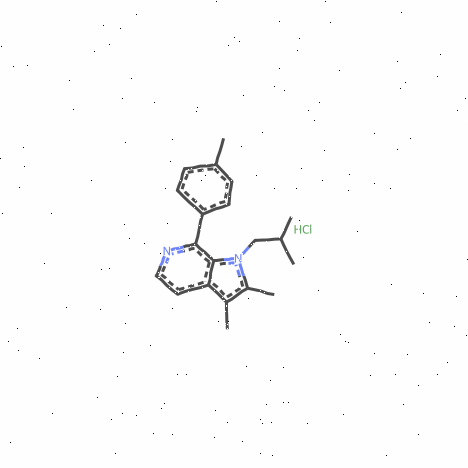 Cc1ccc(-c2nccc3c(C)c(C)n(CC(C)C)c23)cc1.Cl